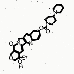 CCC1(O)COCc2c1cc1n(c2=O)Cc2cc3cc(OC(=O)N4CCC(N5CCCCC5)CC4)ccc3nc2-1